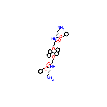 NCCCC[C@@H](NC(=O)CCCOc1ccc2ccccc2c1-c1c(OCCCC(=O)N[C@H](CCCCN)C(=O)OCc2ccccc2)ccc2ccccc12)C(=O)OCc1ccccc1